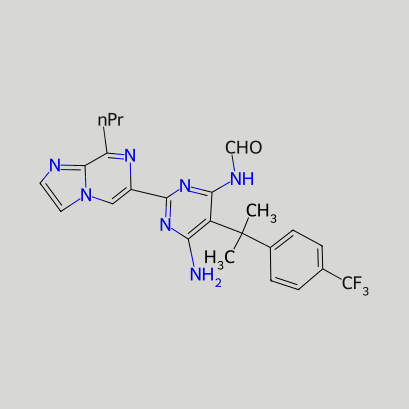 CCCc1nc(-c2nc(N)c(C(C)(C)c3ccc(C(F)(F)F)cc3)c(NC=O)n2)cn2ccnc12